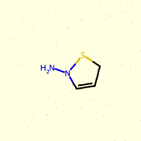 NN1C=CCS1